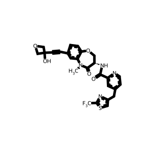 CN1C(=O)[C@@H](NC(=O)c2cc(Cc3csc(C(F)(F)F)n3)ccn2)COc2ccc(C#CC3(O)COC3)cc21